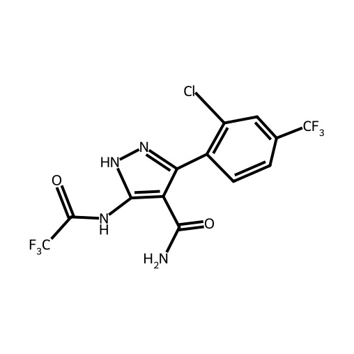 NC(=O)c1c(-c2ccc(C(F)(F)F)cc2Cl)n[nH]c1NC(=O)C(F)(F)F